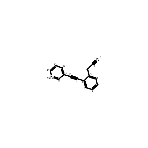 N#CCc1ccccc1C#Cc1cccnc1